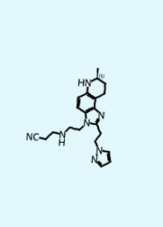 C[C@H]1CCc2c(ccc3c2nc(CCn2cccn2)n3CCNCCC#N)N1